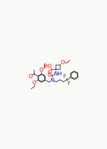 CCOc1cc([C@@H](C)N(CCCC(F)(F)c2ccccc2)C(=O)NC2(C(=O)O)CC(OCC)C2)cc(OCC)c1C(C)=O